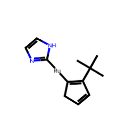 CC(C)(C)C1=[C]([Ru][c]2ncc[nH]2)CC=C1